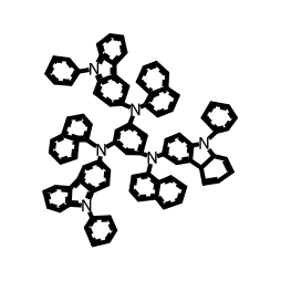 C1=CC2c3cc(N(c4cc(N(c5ccc6c(c5)c5ccccc5n6-c5ccccc5)c5cccc6ccccc56)cc(N(c5ccc6c(c5)c5ccccc5n6-c5ccccc5)c5cccc6ccccc56)c4)c4cccc5ccccc45)ccc3N(c3ccccc3)C2C=C1